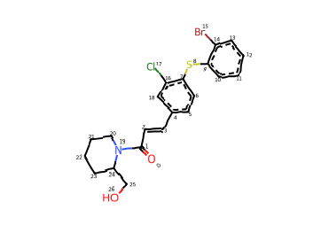 O=C(C=Cc1ccc(Sc2ccccc2Br)c(Cl)c1)N1CCCCC1CO